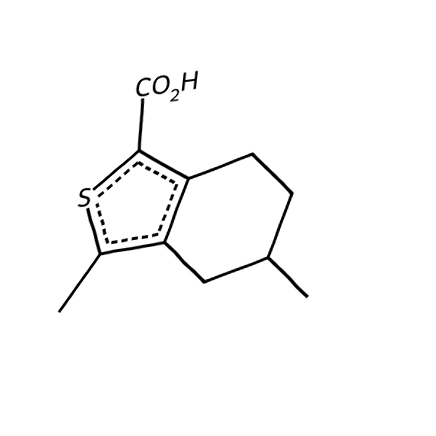 Cc1sc(C(=O)O)c2c1CC(C)CC2